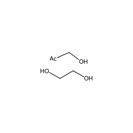 CC(=O)CO.OCCO